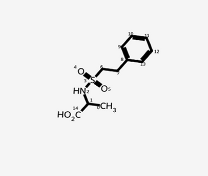 CC(NS(=O)(=O)CCc1ccccc1)C(=O)O